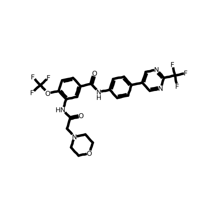 O=C(CN1CCOCC1)Nc1cc(C(=O)Nc2ccc(-c3cnc(C(F)(F)F)nc3)cc2)ccc1OC(F)(F)F